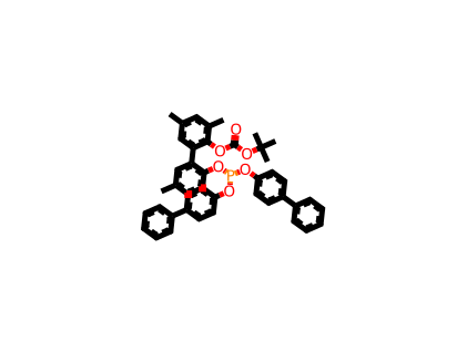 Cc1cc(C)c(OC(=O)OC(C)(C)C)c(-c2cc(C)cc(C)c2OP(Oc2ccc(-c3ccccc3)cc2)Oc2ccc(-c3ccccc3)cc2)c1